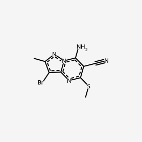 CSc1nc2c(Br)c(C)nn2c(N)c1C#N